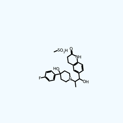 CC(C(O)c1ccc2c(c1)CCC(=O)N2)N1CCC(O)(c2ccc(F)cc2)CC1.CS(=O)(=O)O